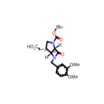 COc1ccc(CN2C(=O)[C@@H]3[C@H]2[C@H](CC(=O)O)CN3C(=O)OC(C)(C)C)cc1OC